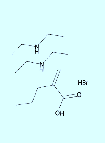 Br.C=C(CCC)C(=O)O.CCNCC.CCNCC